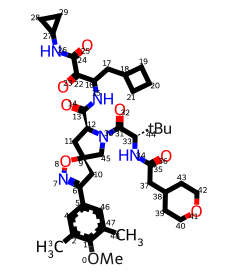 COc1c(C)cc(C2=NO[C@]3(C2)C[C@@H](C(=O)NC(CC2CCC2)C(=O)C(=O)NC2CC2)N(C(=O)[C@@H](NC(=O)CC2CCOCC2)C(C)(C)C)C3)cc1C